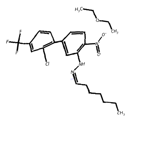 CCCCCC/C=N\Nc1cc(-c2ccc(C(F)(F)F)cc2Cl)ccc1[N+](=O)[O-].CCOCC